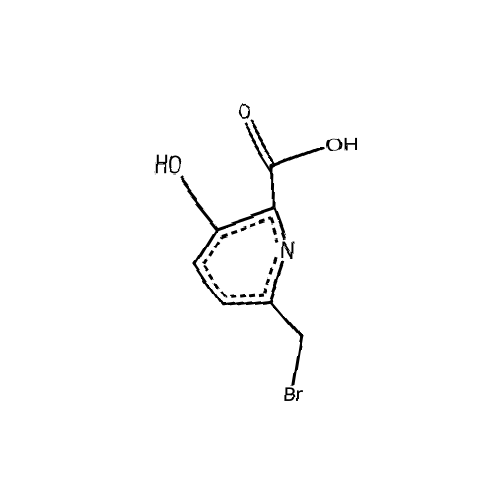 O=C(O)c1nc(CBr)ccc1O